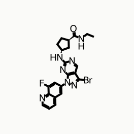 CCNC(=O)[C@@H]1CC[C@@H](Nc2ncc3c(Br)nn(-c4cc(F)c5ncccc5c4)c3n2)C1